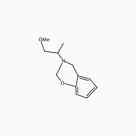 COCC(C)N1COc2ccccc2C1